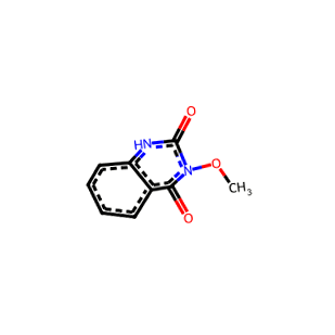 COn1c(=O)[nH]c2ccccc2c1=O